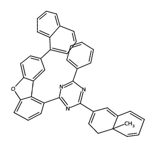 CC12C=CC=CC1=CC(c1nc(-c3ccccc3)nc(-c3cccc4oc5ccc(-c6cccc7ccccc67)cc5c34)n1)=CC2